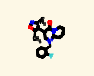 Cc1noc(C)c1-c1c[n+](Cc2ccccc2F)c2ccccn2c1=O